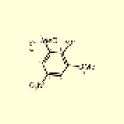 COc1cc([N+](=O)[O-])cc(OC)c1[O-].[K+]